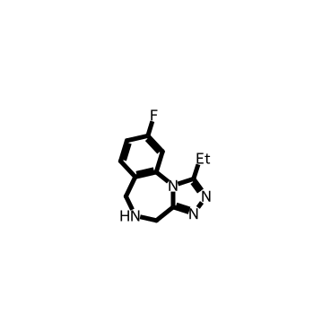 CCc1nnc2n1-c1cc(F)ccc1CNC2